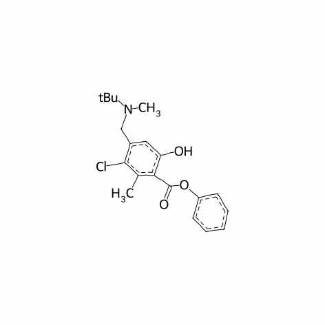 Cc1c(Cl)c(CN(C)C(C)(C)C)cc(O)c1C(=O)Oc1ccccc1